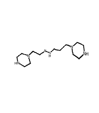 C(CN[N]CCN1CCNCC1)CN1CCNCC1